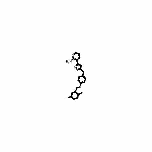 Nc1ncccc1-c1cc(Cc2ccc(OCc3cc(F)ccc3F)cc2)no1